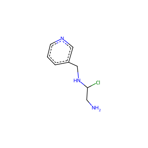 NCC(Cl)NCc1cccnc1